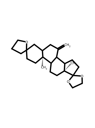 C=C1CC2CC3(CCCO3)CC[C@]2(C)C2CC[C@@]3(C)C(CCC34OCCO4)C12